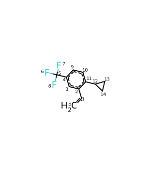 C=[C]c1cc(C(F)(F)F)ccc1C1CC1